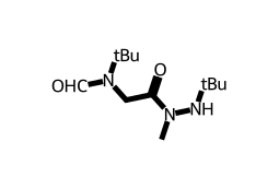 CN(NC(C)(C)C)C(=O)CN(C=O)C(C)(C)C